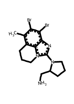 Cc1c(Br)c(Br)c2nc(N3CCCC3CN)n3c2c1CCC3